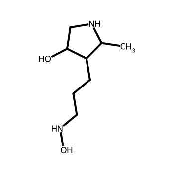 CC1NCC(O)C1CCCNO